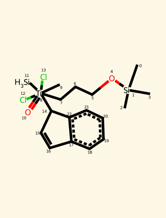 C[Si](C)(C)OCC[CH2][Ti]([CH3])(=[O])([SiH3])([Cl])([Cl])[CH]1C=Cc2ccccc21